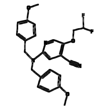 COc1ccc(CN(Cc2ccc(OC)cc2)c2cc(C#N)c(OCC(F)F)cn2)cc1